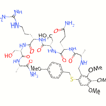 COc1ccc(CSc2cc(OC)c(OC)c(OC)c2CN[C@@H](C)C(=O)N[C@@H](CCC(N)=O)C(=O)N[C@@H](CC(=O)O)C(=O)N[C@@H](CCCNC(=N)N)C(=O)N[C@@H](CO)C(=O)N[C@@H](C)C(N)=O)cc1